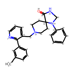 Cc1cccc(-c2ncccc2CN2CCC3(CC2)C(=O)NCN3c2ccccc2)c1